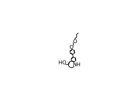 CCCCOCCOc1ccc(-c2ccc3c(c2)/C=C(/CO)CCCN3)cc1